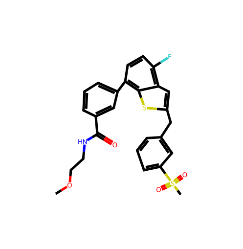 COCCNC(=O)c1cccc(-c2ccc(F)c3cc(Cc4cccc(S(C)(=O)=O)c4)sc23)c1